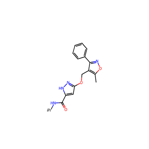 Cc1onc(-c2ccccc2)c1COc1cc(C(=O)NC(C)C)[nH]n1